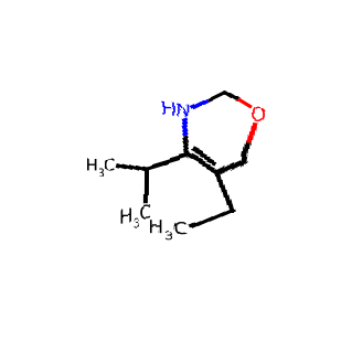 CCC1=C(C(C)C)NCOC1